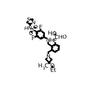 CCOC1(C)CN(Cc2cccc(F)c2CNc2cc(F)c(S(=O)(=O)Nc3cscn3)c(F)c2)C1.O=CO